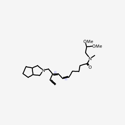 C=C/C(=C\C=C/CCCC(=O)N(C)CC(OC)OC)CN1CC2CCCC2C1